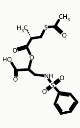 CC(=O)SC[C@@H](C)C(=O)OC(CNS(=O)(=O)c1ccccc1)C(=O)O